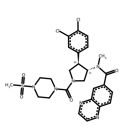 CN(C(=O)c1ccc2nccnc2c1)[C@@H]1CN(C(=O)N2CCN(S(C)(=O)=O)CC2)C[C@H]1c1ccc(Cl)c(Cl)c1